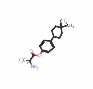 C[C@H](N)C(=O)Oc1ccc(C2CCC(C)(C)CC2)cc1